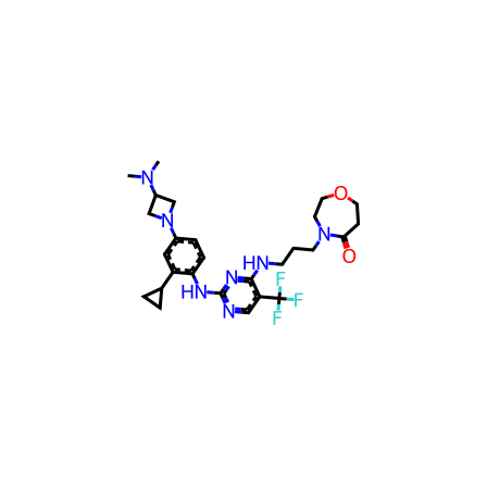 CN(C)C1CN(c2ccc(Nc3ncc(C(F)(F)F)c(NCCCN4CCOCCC4=O)n3)c(C3CC3)c2)C1